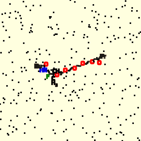 CCC(C)C(=O)NCC(F)C(C)(C)OCCOCCOCCOCCOCC(=O)C(C)C